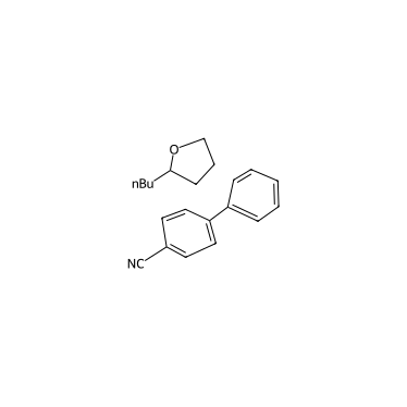 CCCCC1CCCO1.N#Cc1ccc(-c2ccccc2)cc1